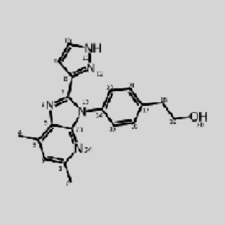 Cc1cc(C)c2nc(-c3cc[nH]n3)n(-c3ccc(CCO)cc3)c2n1